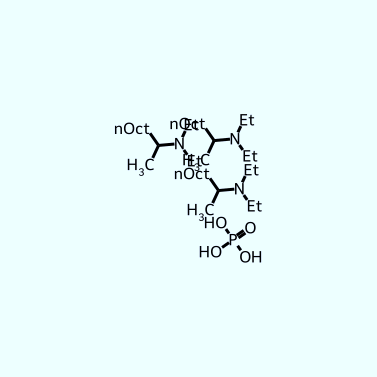 CCCCCCCCC(C)N(CC)CC.CCCCCCCCC(C)N(CC)CC.CCCCCCCCC(C)N(CC)CC.O=P(O)(O)O